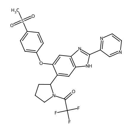 CS(=O)(=O)c1ccc(Oc2cc3nc(-c4cnccn4)[nH]c3cc2C2CCCN2C(=O)C(F)(F)F)cc1